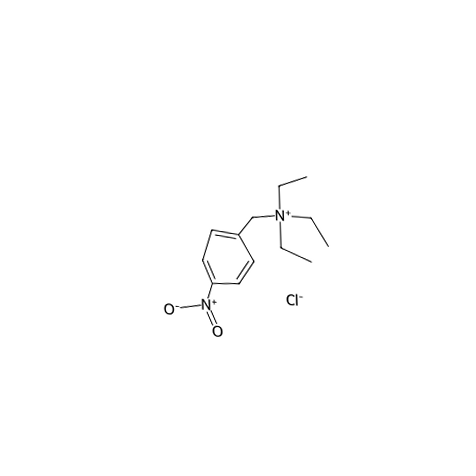 CC[N+](CC)(CC)Cc1ccc([N+](=O)[O-])cc1.[Cl-]